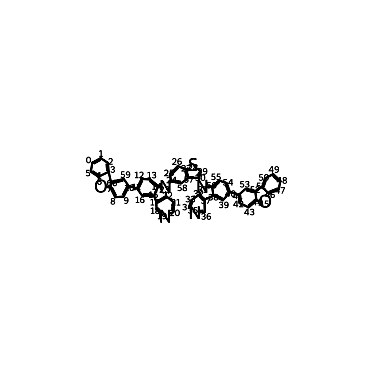 c1ccc2c(c1)oc1ccc(-c3ccc4c(c3)c3cnccc3n4-c3ccc4scc(-n5c6ccncc6c6cc(-c7ccc8oc9ccccc9c8c7)ccc65)c4c3)cc12